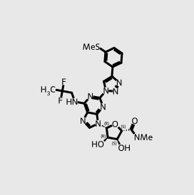 CNC(=O)[C@H]1O[C@@H](n2cnc3c(NCC(C)(F)F)nc(-n4cc(-c5cccc(SC)c5)nn4)nc32)[C@H](O)[C@@H]1O